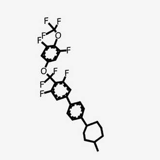 CC1CCCC(c2ccc(-c3cc(F)c(C(F)(F)Oc4cc(F)c(OC(F)(F)F)c(F)c4)c(F)c3)cc2)CC1